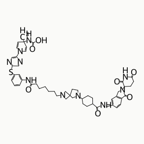 CC1(NC(=O)O)C=CN(c2cnc(Sc3cccc(NC(=O)CCCCCCN4CC5(CCN(C6CCC(C(=O)NCc7ccc8c(c7)CN(C7CCC(=O)NC7=O)C8=O)CC6)C5)C4)c3)cn2)C=C1